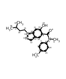 Cc1ccc(N(C)C(=O)c2cc3cnn(CCC(C)C)c3cc2O)cc1